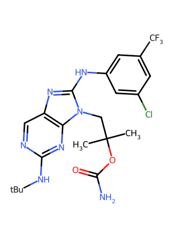 CC(C)(C)Nc1ncc2nc(Nc3cc(Cl)cc(C(F)(F)F)c3)n(CC(C)(C)OC(N)=O)c2n1